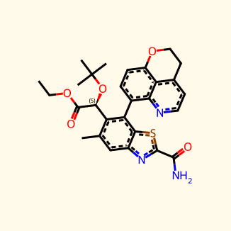 CCOC(=O)[C@@H](OC(C)(C)C)c1c(C)cc2nc(C(N)=O)sc2c1-c1ccc2c3c(ccnc13)CCO2